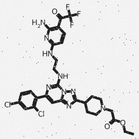 CCOC(=O)CN1CCC(c2nc3cc(-c4ccc(Cl)cc4Cl)nc(NCCNc4ccc(C(=O)C(F)(F)F)c(N)n4)n3n2)CC1